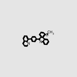 COc1cccc2c(-c3ccc(-c4cccc5cccnc45)cc3)nc3ccccc3c12